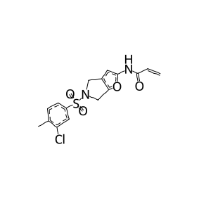 C=CC(=O)Nc1cc2c(o1)CN(S(=O)(=O)c1ccc(C)c(Cl)c1)C2